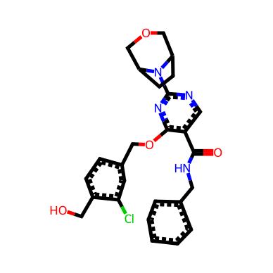 O=C(NCc1ccccc1)c1cnc(N2C3CCC2COC3)nc1OCc1ccc(CO)c(Cl)c1